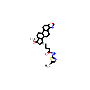 Cc1cnc(NC(=O)CCC[C@@H]2CC(=O)[C@@]3(C)CCC4c5ccc6ocnc6c5CCC4C23)s1